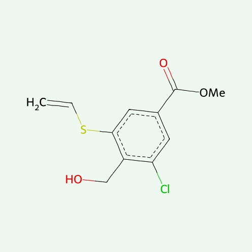 C=CSc1cc(C(=O)OC)cc(Cl)c1CO